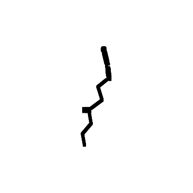 CCCNCCN=C=O